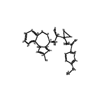 CCOc1ccc(C(=O)NC2(C(=O)N[C@@H]3CCc4ccccc4-n4cc(C)nc43)CC2)cc1